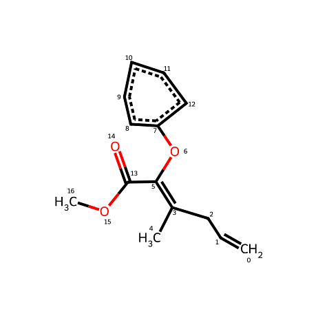 C=CCC(C)=C(Oc1ccccc1)C(=O)OC